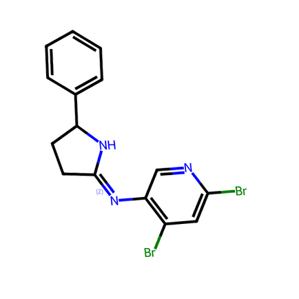 Brc1cc(Br)c(/N=C2/CCC(c3ccccc3)N2)cn1